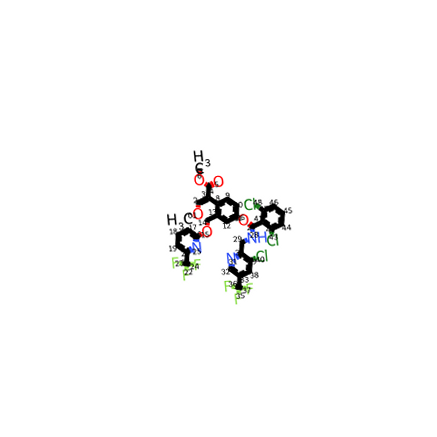 CO/C=C(/C(=O)OC)c1ccccc1COc1cccc(C(F)(F)F)n1.O=C(NCc1ncc(C(F)(F)F)cc1Cl)c1c(Cl)cccc1Cl